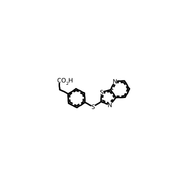 O=C(O)Cc1ccc(Sc2nc3cccnc3s2)cc1